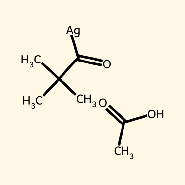 CC(=O)O.CC(C)(C)[C](=O)[Ag]